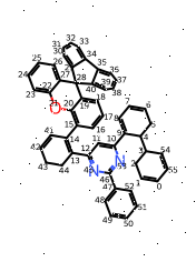 C1=CCC(C2CC=CC=C2c2cc(C3=C(c4cccc5c4Oc4ccccc4C54c5ccccc5-c5ccccc54)C=CCC3)nc(-c3ccccc3)n2)C=C1